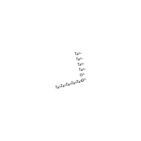 [O-2].[O-2].[Ta+5].[Ta+5].[Ta+5].[Ta+5].[Ta+5].[Ta+5].[Ta+5].[Ta+5].[Ta+5]